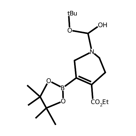 CCOC(=O)C1=C(B2OC(C)(C)C(C)(C)O2)CN(C(O)OC(C)(C)C)CC1